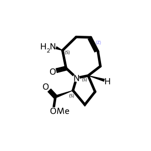 COC(=O)[C@@H]1CC[C@H]2C/C=C\C[C@H](N)C(=O)N21